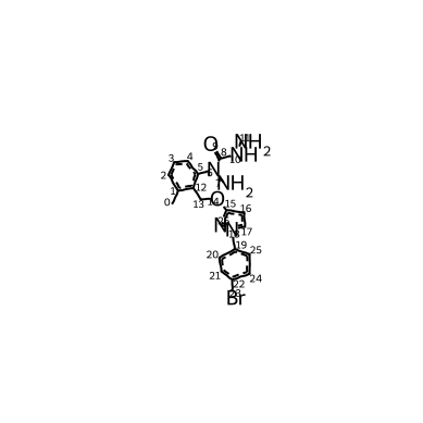 Cc1cccc(N(N)C(=O)NN)c1COc1ccn(-c2ccc(Br)cc2)n1